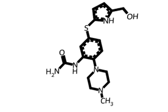 CN1CCN(c2ccc(Sc3ccc(CO)[nH]3)cc2NC(N)=O)CC1